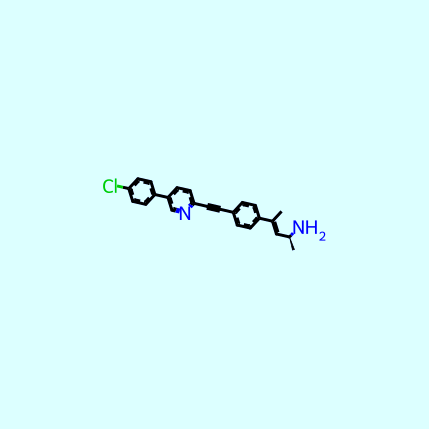 C/C(=C\[C@H](C)N)c1ccc(C#Cc2ccc(-c3ccc(Cl)cc3)cn2)cc1